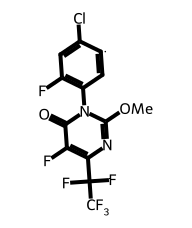 COc1nc(C(F)(F)C(F)(F)F)c(F)c(=O)n1-c1c[c]c(Cl)cc1F